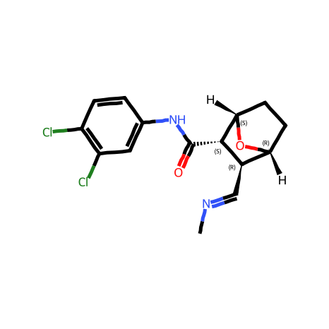 CN=C[C@H]1[C@H](C(=O)Nc2ccc(Cl)c(Cl)c2)[C@@H]2CC[C@H]1O2